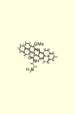 COc1c2ccc3cccc4ccc(c5c(C(=O)NCCN)c6cc7c8c(c6nc15)C=CC1=CC=CC(=CC7)C18)c2c34